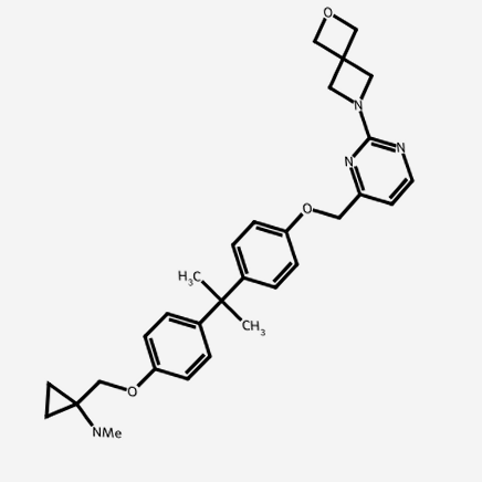 CNC1(COc2ccc(C(C)(C)c3ccc(OCc4ccnc(N5CC6(COC6)C5)n4)cc3)cc2)CC1